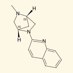 CN1C[C@@H]2C[C@H]1CN2c1ccc2ccccc2n1